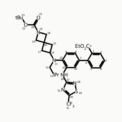 CCOC(=O)c1ccccc1-c1ccc(N(CC(C)C)C2CC3(C2)CN(C(=O)OC(C)(C)C)C3)c(Nc2nsc(C(F)(F)F)n2)c1